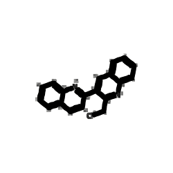 ClCc1nc2ccccc2cc1-c1ccc2ccccc2n1